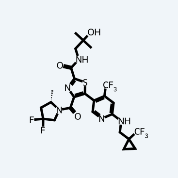 C[C@H]1CC(F)(F)CN1C(=O)c1nc(C(=O)NCC(C)(C)O)sc1-c1cnc(NCC2(C(F)(F)F)CC2)cc1C(F)(F)F